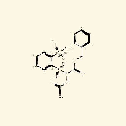 CCC(=O)ON(C(=O)OCc1ccccc1)S(=O)(=O)c1ccccc1S(C)(=O)=O